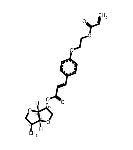 C=CC(=O)OCCOc1ccc(/C=C/C(=O)O[C@@H]2CO[C@H]3[C@@H]2OC[C@@H]3C)cc1